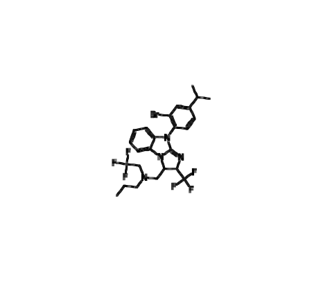 CCCN(CC1C(C(F)(F)F)N=C2N(c3ccc(C(C)C)cc3Br)c3ccccc3N21)CC(F)(F)F